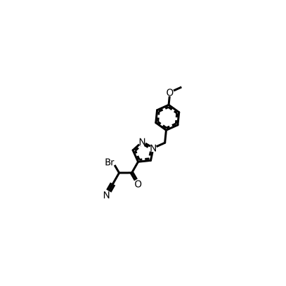 COc1ccc(Cn2cc(C(=O)C(Br)C#N)cn2)cc1